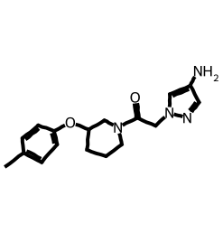 Cc1ccc(OC2CCCN(C(=O)Cn3cc(N)cn3)C2)cc1